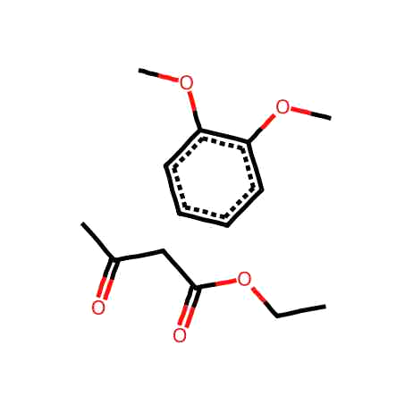 CCOC(=O)CC(C)=O.COc1ccccc1OC